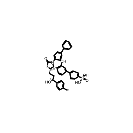 O=C1S[C@H](CC[C@H](O)c2ccc(F)cc2)[C@@H](c2ccc(-c3ccc(P(=O)(O)O)cc3)cc2O)N1c1ccc(-c2ccccc2)cc1